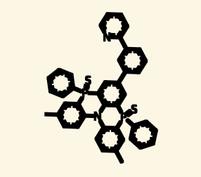 Cc1ccc2c(c1)P(=S)(c1ccccc1)c1cc(-c3cccc(-c4ccccn4)c3)cc3c1N2c1ccc(C)cc1P3(=S)c1ccccc1